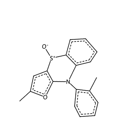 Cc1cc2c(o1)N(c1ccccc1C)c1ccccc1[S+]2[O-]